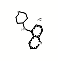 Cl.c1cc(NC2CCNCC2)c2cccnc2c1